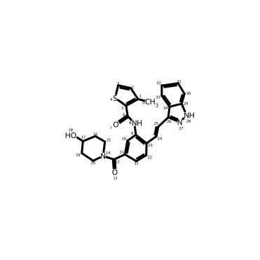 Cc1ccsc1C(=O)Nc1cc(C(=O)N2CCC(O)CC2)ccc1/C=C/c1n[nH]c2ccccc12